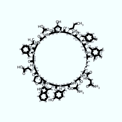 CCCC[C@H]1C(=O)N2C[C@H](O)C[C@@H]2C(=O)N[C@@H](CC(=O)O)C(=O)N[C@@H](C(C)C)C(=O)N(C)[C@@H](Cc2ccccc2)C(=O)N[C@@H](CCC(=O)O)C(=O)N2CCOC[C@@H]2C(=O)N[C@@H](Cc2c[nH]c3ccccc23)C(=O)N[C@@H](Cc2ccc(O)cc2)C(=O)N[C@@H](CC(N)=O)C(=O)N[C@H](C(=O)NCC(N)=O)CSCC(=O)N[C@@H](Cc2cc(F)c(F)c(F)c2)C(=O)N(C)[C@@H](Cc2ccc(F)cc2)C(=O)N1C